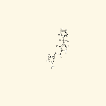 Cc1c(C(C)C[n+]2cc(C(C)C)co2)oc[n+]1C(C)(C)c1cnco1